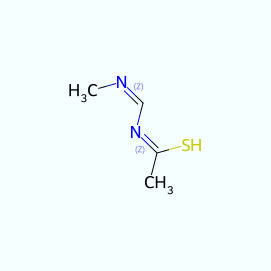 C/N=C\N=C(\C)S